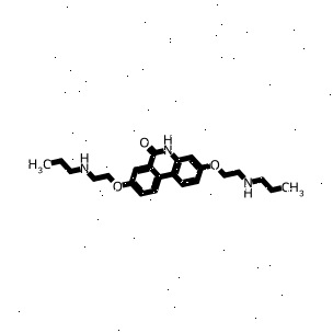 CCCNCCOc1ccc2c(c1)[nH]c(=O)c1cc(OCCNCCC)ccc12